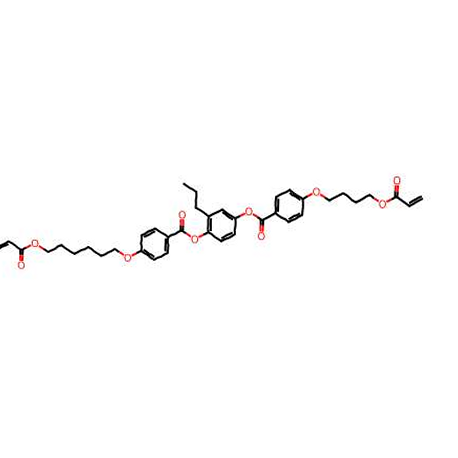 C=CC(=O)OCCCCCCOc1ccc(C(=O)Oc2ccc(OC(=O)c3ccc(OCCCCOC(=O)C=C)cc3)cc2CCC)cc1